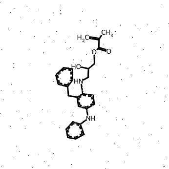 C=C(C)C(=O)OCC(O)CNc1ccc(Nc2ccccc2)cc1Cc1ccccc1